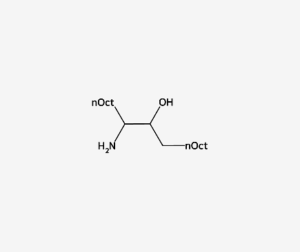 CCCCCCCCCC(O)C(N)CCCCCCCC